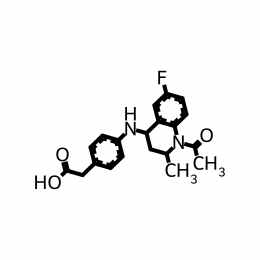 CC(=O)N1c2ccc(F)cc2C(Nc2ccc(CC(=O)O)cc2)CC1C